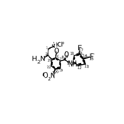 Cl.NC1CCOc2c(C(=O)Nc3ccc(F)c(F)c3)cc([N+](=O)[O-])cc21